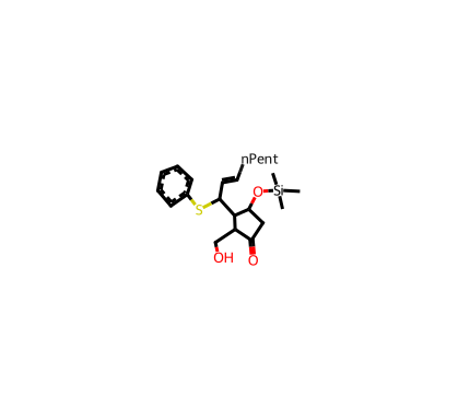 CCCCCC=CC(Sc1ccccc1)C1C(O[Si](C)(C)C)CC(=O)C1CO